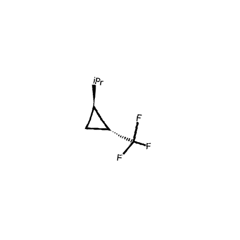 CC(C)[C@@H]1C[C@H]1C(F)(F)F